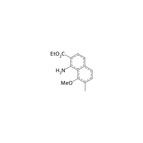 CCOC(=O)c1ccc2ccc(C)c(OC)c2c1N